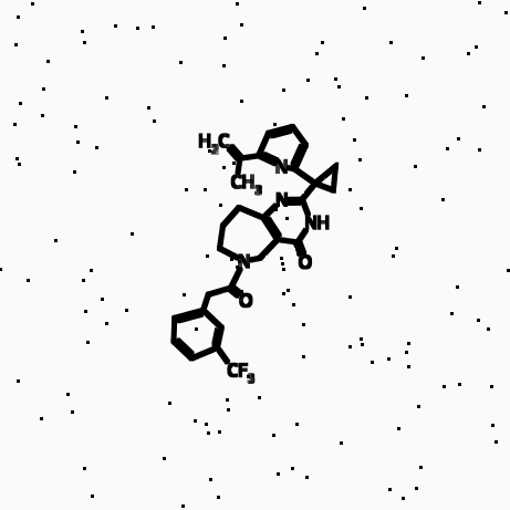 C=C(C)c1cccc(C2(c3nc4c(c(=O)[nH]3)CN(C(=O)Cc3cccc(C(F)(F)F)c3)CCC4)CC2)n1